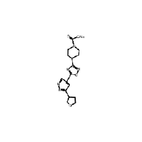 COC(=O)N1CCC(c2noc(-c3cnnc(C4CCOC4)c3)n2)CC1